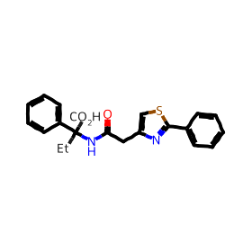 CCC(NC(=O)Cc1csc(-c2ccccc2)n1)(C(=O)O)c1ccccc1